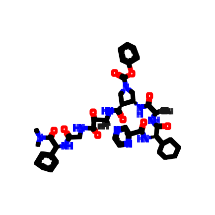 CCCC(NC(=O)[C@@H]1CN(C(=O)Oc2ccccc2)C[C@@H]1NC(=O)C(NC(=O)[C@@H](NC(=O)c1cnccn1)C1CCCCC1)C(C)(C)C)C(=O)C(=O)NCC(=O)N[C@H](C(=O)N(C)C)c1ccccc1